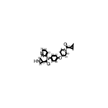 O=C(C1CC1)N1CCC(Oc2ccc(N(C(=O)C3CNC3)c3cccnn3)cc2)CC1